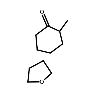 C1CCOC1.CC1CCCCC1=O